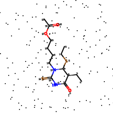 CCSC1C(CC)C(=O)NC(=S)N1CCCCOC(C)=O